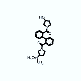 CN(C)C1CCN(C(=O)c2ccccc2-c2[c]cccc2C(=O)N2CCC(O)C2)C1